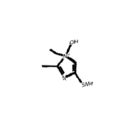 CSC1=C[N+](C)(O)C(C)=N1